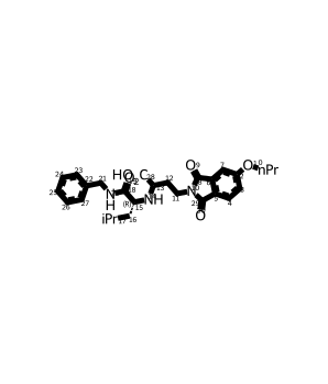 CCCOc1ccc2c(c1)C(=O)N(CCC(N[C@H](CC(C)C)C(=O)NCc1ccccc1)C(=O)O)C2=O